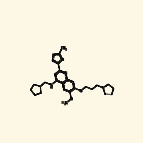 COc1cc2c(NCC3CCCC3)cc(-c3ccc(C)o3)nc2cc1OCCCN1CCCC1